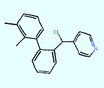 Cc1cccc(-c2ccccc2C(Cl)c2ccncc2)c1C